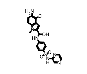 Cn1c(C(O)Nc2ccc(S(=O)(=O)Nc3cnccn3)cc2)cc2c(Cl)c(N)ccc21